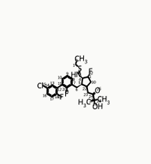 CCSN[C@@H]1[C@H](Cc2cccc(-c3cc(Cl)ccc3F)c2F)C(CC(=O)C(C)(C)O)C[C@@H]1F